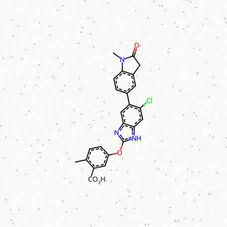 Cc1ccc(Oc2nc3cc(-c4ccc5c(c4)CC(=O)N5C)c(Cl)cc3[nH]2)cc1C(=O)O